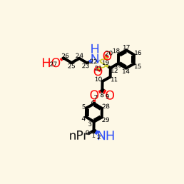 CCCC(=N)c1ccc(OC(=O)CCC(c2ccccc2)S(=O)(=O)NCCCCO)cc1